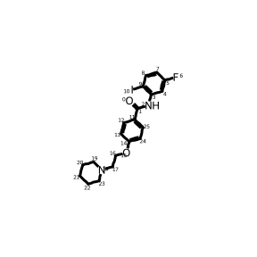 O=C(Nc1cc(F)ccc1I)c1ccc(OCCN2CCCCC2)cc1